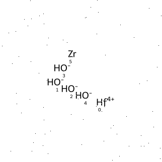 [Hf+4].[OH-].[OH-].[OH-].[OH-].[Zr]